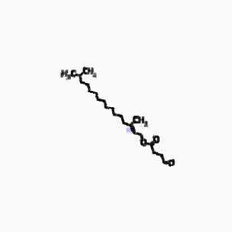 C/C(=C\COC(=O)CCC=O)CCCCCCCCCCCC(C)C